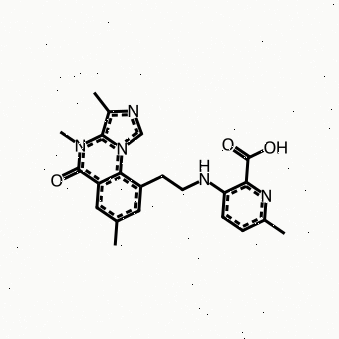 Cc1cc(CCNc2ccc(C)nc2C(=O)O)c2c(c1)c(=O)n(C)c1c(C)ncn21